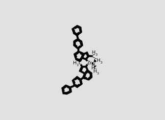 CC1=Cc2c(-c3ccc(-c4ccccc4)cc3)cccc2[CH]1[Zr]([CH]1C(C)=Cc2c(-c3ccc(-c4ccccc4)cc3)cccc21)[SiH](C)C